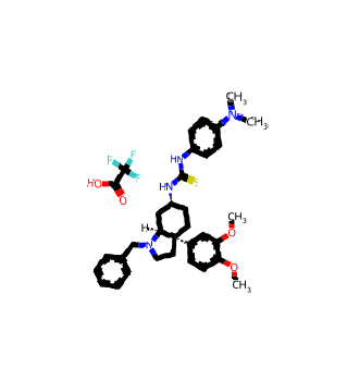 COc1ccc([C@@]23CC[C@@H](NC(=S)Nc4ccc(N(C)C)cc4)C[C@@H]2N(Cc2ccccc2)CC3)cc1OC.O=C(O)C(F)(F)F